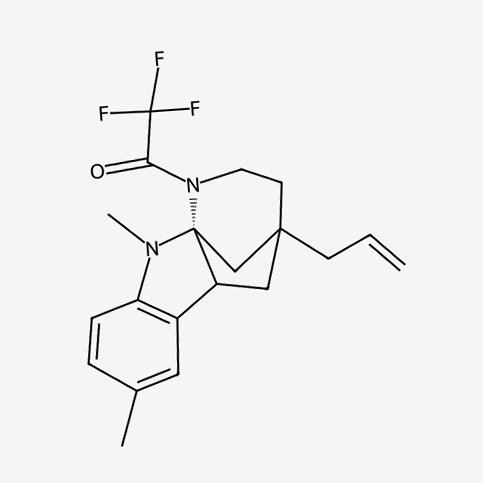 C=CCC12CCN(C(=O)C(F)(F)F)[C@]3(C1)C(C2)c1cc(C)ccc1N3C